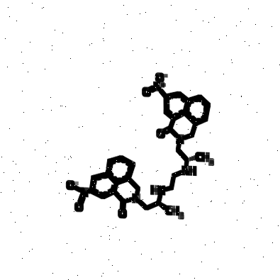 C[C@@H](CN1Cc2cccc3cc([N+](=O)[O-])cc(c23)C1=O)NCCN[C@@H](C)CN1Cc2cccc3cc([N+](=O)[O-])cc(c23)C1=O